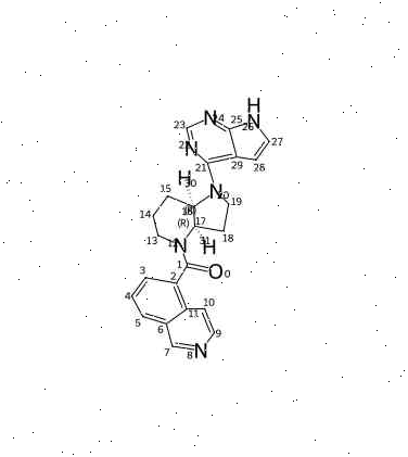 O=C(c1cccc2cnccc12)N1CCC[C@@H]2[C@H]1CCN2c1ncnc2[nH]ccc12